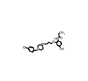 CCC(=O)Nc1ccc(O)cc1OCCCNC1CCN(Cc2ccc(Cl)cc2)CC1